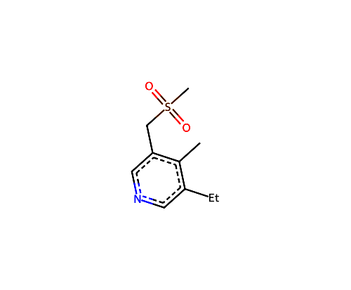 CCc1cncc(CS(C)(=O)=O)c1C